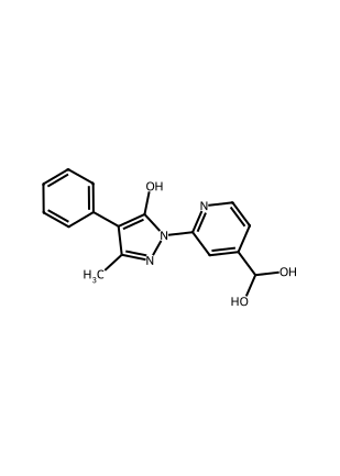 Cc1nn(-c2cc(C(O)O)ccn2)c(O)c1-c1ccccc1